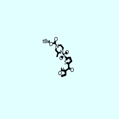 CC1CN(C(=O)OC(C)(C)C)CCN1S(=O)(=O)c1ccc(C(=O)c2ccon2)s1